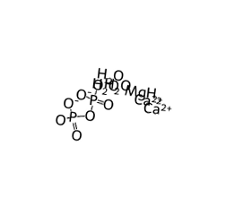 O.O.O.O=P([O-])([O-])OP(=O)([O-])[O-].[Ca+2].[Ca+2].[MgH2]